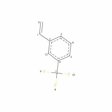 C=Cc1[c]ccc(C(F)(F)F)c1